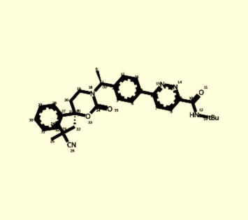 C[C@@H](c1ccc(-c2ccc(C(=O)NC(C)(C)C)nn2)cc1)N1CC[C@](CC(C)(C)C#N)(c2ccccc2)OC1=O